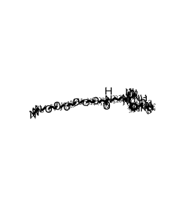 [N-]=[N+]=NCCOCCOCCOCCOCCOCCOCCC(=O)NCCCCn1nc(-c2cccc(C(=O)NC3=NCCS3)c2)c2c(N)ncnc21